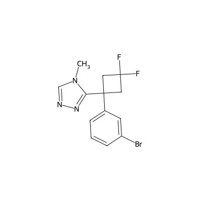 Cn1cnnc1C1(c2cccc(Br)c2)CC(F)(F)C1